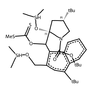 CSC(=S)OC(c1c(CO[SiH](C)C)cc(C(C)(C)C)c2ccccc12)[C@@]1(O[SiH](C)C)C[C@H](C(C)(C)C)CN1C(=O)OC(C)(C)C